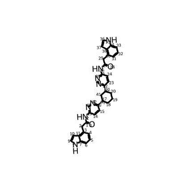 O=C(Cc1cccc2[nH]ccc12)Nc1ccc([C@@H]2CCC[C@H](c3ccc(NC(=O)Cc4cccc5[nH]ccc45)nn3)C2)nn1